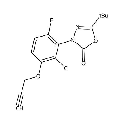 C#CCOc1ccc(F)c(-n2nc(C(C)(C)C)oc2=O)c1Cl